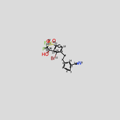 N#Cc1cccc(CCc2ccc3c(c2Br)[C@@H](O)C(F)(F)S3(=O)=O)c1